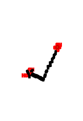 C=C.C=C.C=C.C=C.C=C.C=C.C=C.C=C.C=C.C=C.CCCCCCCCCCOS(=O)(=O)O.CCOCC.OCCO